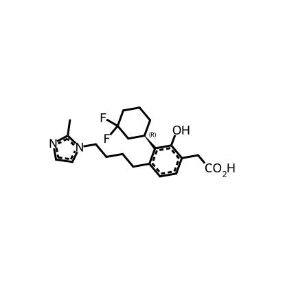 Cc1nccn1CCCCc1ccc(CC(=O)O)c(O)c1[C@@H]1CCCC(F)(F)C1